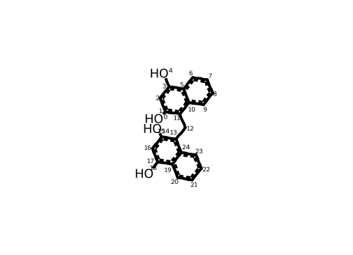 Oc1cc(O)c2ccccc2c1Cc1c(O)cc(O)c2ccccc12